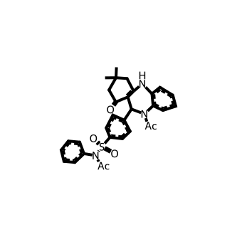 CC(=O)N1c2ccccc2NC2=C(C(=O)CC(C)(C)C2)C1c1ccc(S(=O)(=O)N(C(C)=O)c2ccccc2)cc1